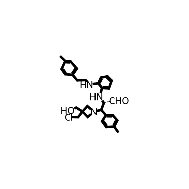 Cc1ccc(CCNc2ccccc2N[C@H](C=O)C(c2ccc(C)cc2)N2CC(CO)(CCl)C2)cc1